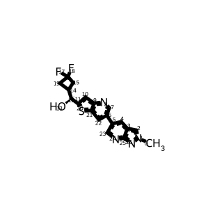 Cn1cc2cc(-c3cnc4cc([C@@H](O)C5CC(F)(F)C5)sc4c3)cnc2n1